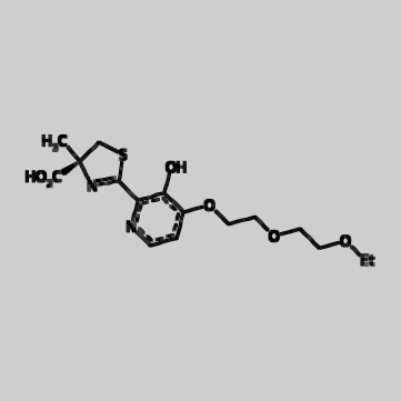 CCOCCOCCOc1ccnc(C2=N[C@@](C)(C(=O)O)CS2)c1O